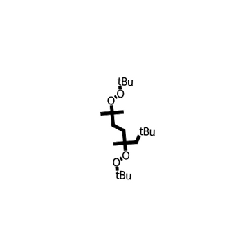 CC(C)(C)CC(C)(CCC(C)(C)OOC(C)(C)C)OOC(C)(C)C